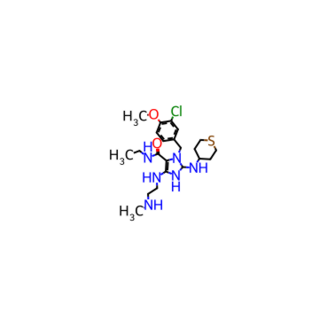 CCNC(=O)C1=C(NCCNC)NC(NC2CCSCC2)N1Cc1ccc(OC)c(Cl)c1